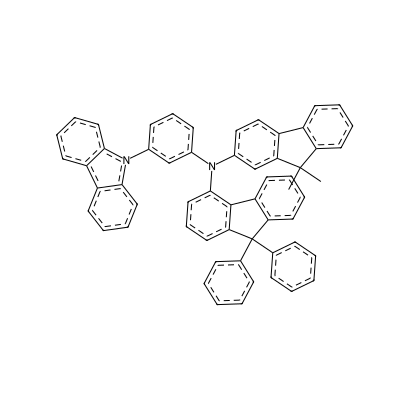 CC1(C)c2ccccc2-c2ccc(N(c3cccc(-n4c5ccccc5c5ccccc54)c3)c3cccc4c3-c3ccccc3C4(c3ccccc3)c3ccccc3)cc21